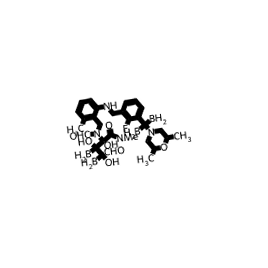 BC(B)(c1cccc(CNc2cccc(C)c2CN(C=O)C(O)(C(=O)NC)C(B)(O)C(B)(O)C=O)c1F)N1CC(C)OC(C)C1